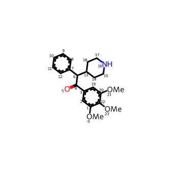 COc1cc(C(=O)C(c2ccccc2)C2CCNCC2)cc(OC)c1OC